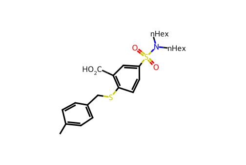 CCCCCCN(CCCCCC)S(=O)(=O)c1ccc(SCc2ccc(C)cc2)c(C(=O)O)c1